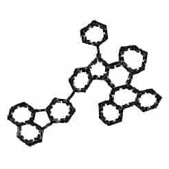 c1ccc(-n2c3ccc(-c4ccc5c(c4)-c4cccc6cccc-5c46)cc3c3c4c5ccccc5c5ccccc5c4c4ccccc4c32)cc1